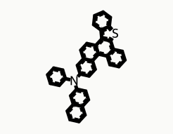 c1ccc(N(c2ccc3ccccc3c2)c2ccc3c(ccc4c3c3ccccc3c3sc5ccccc5c43)c2)cc1